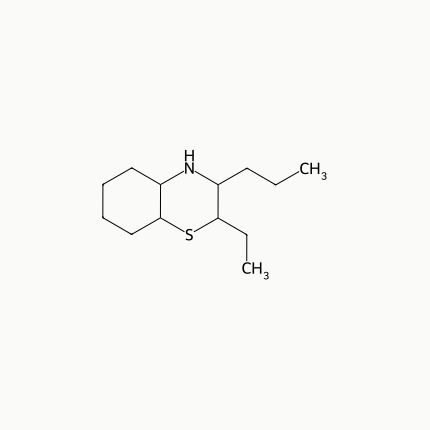 CCCC1NC2CCCCC2SC1CC